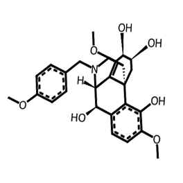 COC1=C2[C@@H]3[C@H](O)c4ccc(OC)c(O)c4[C@]2(CCN3Cc2ccc(OC)cc2)C[C@H](O)[C@@H]1O